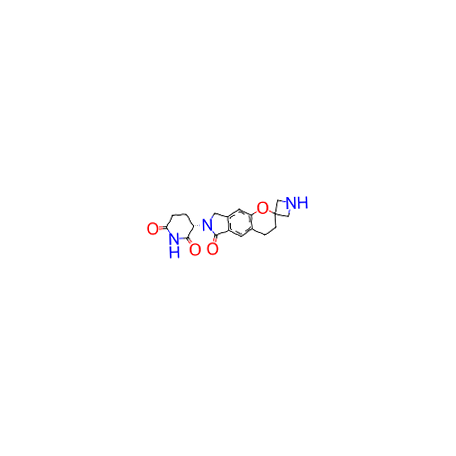 O=C1CC[C@H](N2Cc3cc4c(cc3C2=O)CCC2(CNC2)O4)C(=O)N1